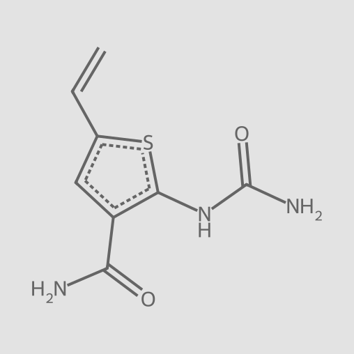 C=Cc1cc(C(N)=O)c(NC(N)=O)s1